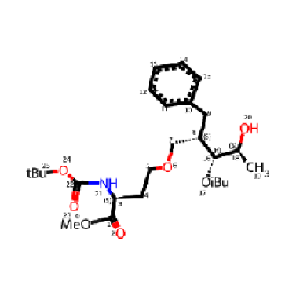 COC(=O)[C@H](CCOC[C@H](Cc1ccccc1)[C@@H](OCC(C)C)[C@H](C)O)NC(=O)OC(C)(C)C